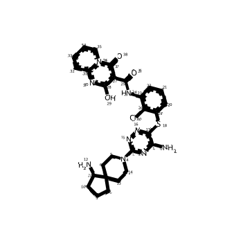 Nc1nc(N2CCC3(CCCC3N)CC2)nnc1Sc1cccc(NC(=O)c2c(O)nc3ccccn3c2=O)c1Cl